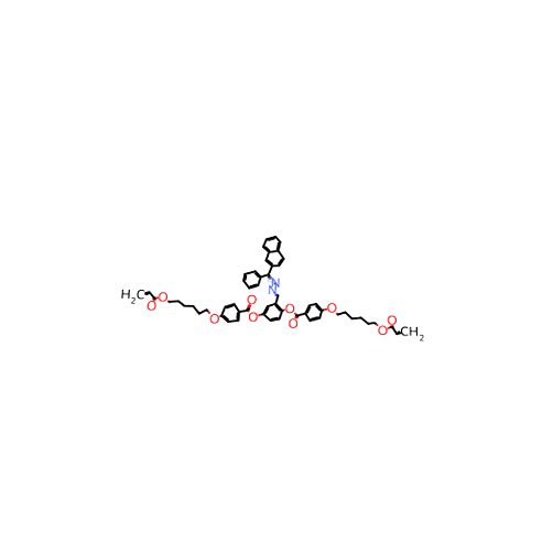 C=CC(=O)OCCCCCCOc1ccc(C(=O)Oc2ccc(OC(=O)c3ccc(OCCCCCCOC(=O)C=C)cc3)c(/C=N/N=C(\c3ccccc3)c3ccc4ccccc4c3)c2)cc1